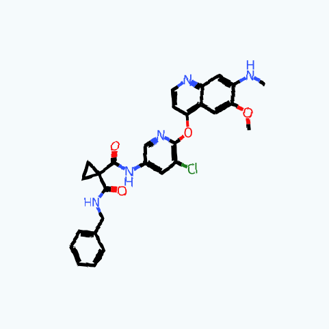 CNc1cc2nccc(Oc3ncc(NC(=O)C4(C(=O)NCc5ccccc5)CC4)cc3Cl)c2cc1OC